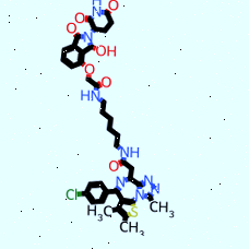 Cc1sc2c(c1C)C(c1ccc(Cl)cc1)=NC(CC(=O)NCCCCCCNC(=O)COc1cccc3c1C(O)N(C1CCC(=O)NC1=O)C3=O)c1nnc(C)n1-2